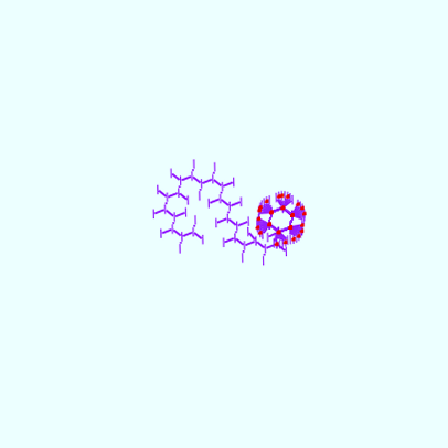 II(I)I(I)I(I)I(I)I(I)I(I)I(I)I(I)I(I)I(I)I(I)I(I)I(I)I(I)I(I)I(I)I(I)I(I)I(I)I(I)I(I)I(I)I(I)I(I)I(I)I(I)I(I)I(I)I(I)I(I)I(I)I(I)I(I)I(I)I(I)I(I)I(I)I(I)I(I)I(I)I(I)I(I)I(I)I(I)I(I)I(I)I(I)I(I)I(I)I(I)I(I)I(I)I(I)I(I)I(I)I(I)I(I)I(I)I(I)I(I)I(I)I(I)I(I)I(I)I(I)I